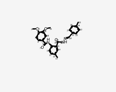 COc1ccc(C(=O)Nc2ccc(C)cc2C(=O)N/N=C/c2ccc(C)cc2)cc1OC